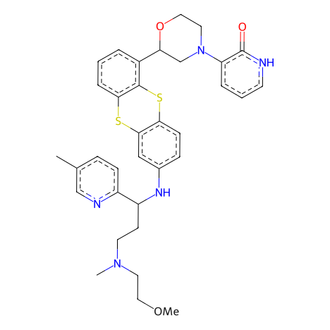 COCCN(C)CCC(Nc1ccc2c(c1)Sc1cccc(C3CN(c4ccc[nH]c4=O)CCO3)c1S2)c1ccc(C)cn1